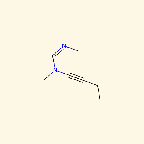 CCC#CN(C)/C=N\C